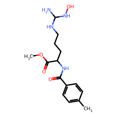 COC(=O)C(CCCNC(N)NO)NC(=O)c1ccc(C)cc1